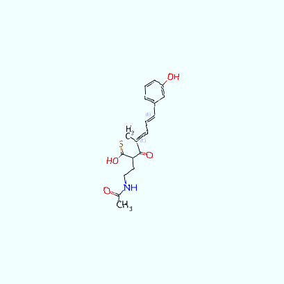 CC(=O)NCCC(C(=O)/C(C)=C/C=C/c1cccc(O)c1)C(O)=S